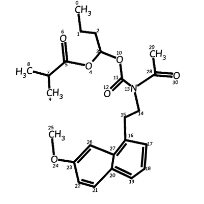 CCCC(OC(=O)C(C)C)OC(=O)N(CCc1cccc2ccc(OC)cc12)C(C)=O